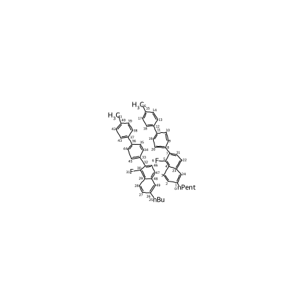 CCCCCc1ccc2c(F)c(-c3ccc(-c4ccc(C)cc4)cc3)ccc2c1.CCCCc1ccc2c(F)c(-c3ccc(-c4ccc(C)cc4)cc3)ccc2c1